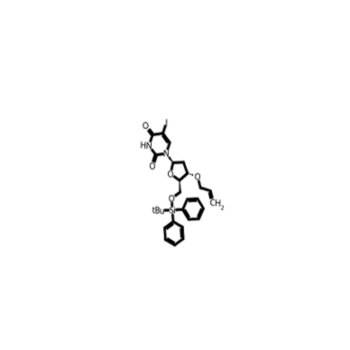 C=CCO[C@H]1C[C@H](n2cc(I)c(=O)[nH]c2=O)O[C@@H]1CO[Si](c1ccccc1)(c1ccccc1)C(C)(C)C